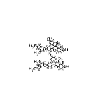 CC1=C(c2ccc(C#N)cc2)C(c2ccc(OCC(C)N3CCC(C)C3)cc2)Oc2ccc(O)c(F)c21.CC1=C(c2ccc(Cl)cc2C#N)C(c2ccc(OCC(C)N3CCC(C)C3)cc2)Oc2ccc(O)c(F)c21